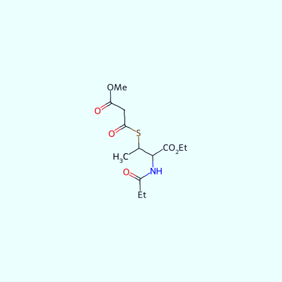 CCOC(=O)C(NC(=O)CC)C(C)SC(=O)CC(=O)OC